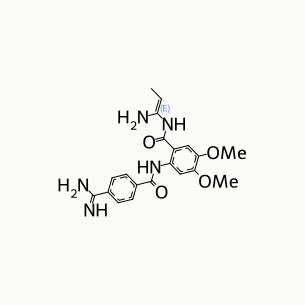 C/C=C(\N)NC(=O)c1cc(OC)c(OC)cc1NC(=O)c1ccc(C(=N)N)cc1